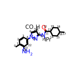 Cc1ccc(-n2cc(C(=O)O)c(N(C(=O)C3CCC(C)CC3)C(C)C)n2)cc1N